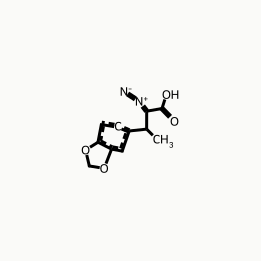 CC(C(=[N+]=[N-])C(=O)O)c1ccc2c(c1)OCO2